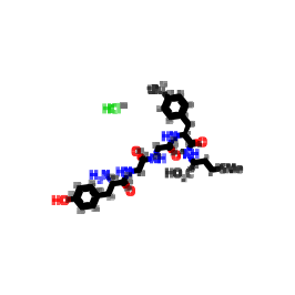 CSCC[C@H](NC(=O)[C@H](Cc1ccc(C(C)(C)C)cc1)NC(=O)CNC(=O)CNC(=O)[C@@H](N)Cc1ccc(O)cc1)C(=O)O.Cl